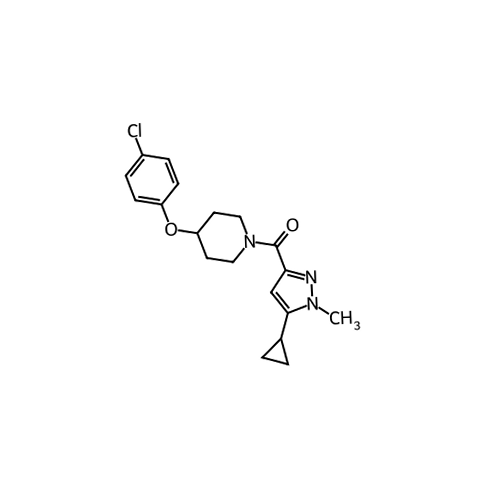 Cn1nc(C(=O)N2CCC(Oc3ccc(Cl)cc3)CC2)cc1C1CC1